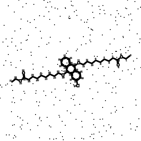 CCOC(=O)CCCCCCCCOc1c2ccccc2c(OCCCCCCCCC(=O)OCC)c2cc(Cl)ccc12